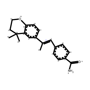 C/C(=C\c1ccc(C(N)=O)cc1)c1ccc2c(c1)C(C)(C)CCO2